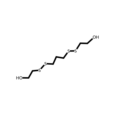 OCCSSCCCSSCCO